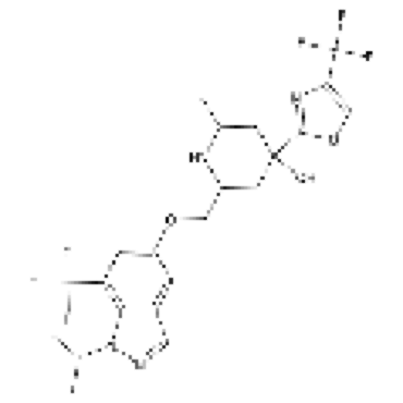 CC1CC(O)(c2nc(C(F)(F)F)co2)CC(COc2cc(C(F)(F)F)c3c(cnn3C(C)C)c2)N1